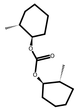 C[C@@H]1CCCC[C@H]1OC(=O)O[C@@H]1CCCC[C@H]1C